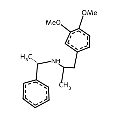 COc1ccc(CC(C)N[C@@H](C)c2ccccc2)cc1OC